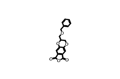 O=C1OC(=O)c2cc3c(cc21)OCC(COCc1ccccc1)O3